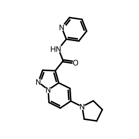 O=C(Nc1ccccn1)c1cnn2ccc(N3CCCC3)cc12